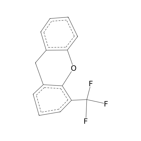 FC(F)(F)c1cccc2c1Oc1ccccc1C2